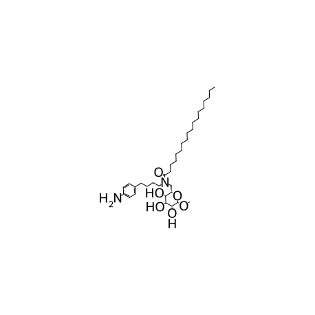 CCCCCCCCCCCCCCCCCC(=O)N(CCCCc1ccc(N)cc1)C[C@H]1O[C@H](OC)[C@H](O)[C@@H](O)[C@@H]1O